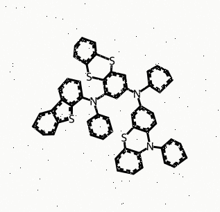 c1ccc(N(c2ccc3c(c2)Sc2ccccc2N3c2ccccc2)c2cc3c(c(N(c4ccccc4)c4cccc5c4sc4ccccc45)c2)Sc2ccccc2S3)cc1